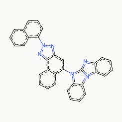 c1ccc2c(-n3nc4cc(-n5c6ccccc6n6c7ccccc7nc56)c5ccccc5c4n3)cccc2c1